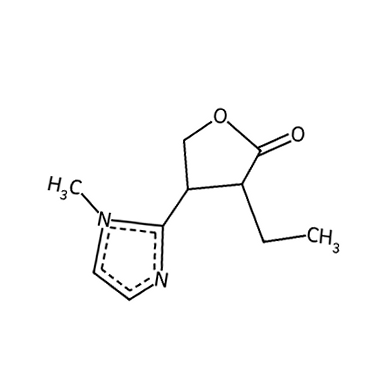 CCC1C(=O)OCC1c1nccn1C